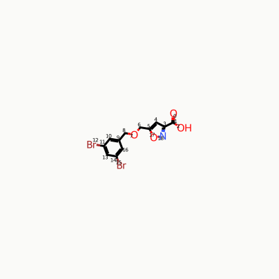 O=C(O)c1cc(COCc2cc(Br)cc(Br)c2)on1